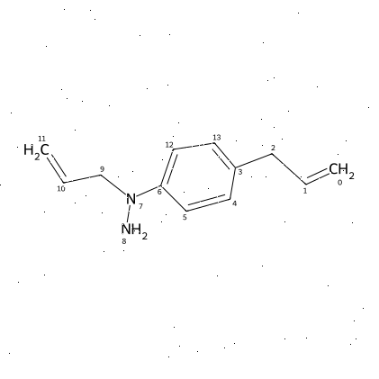 C=CCc1ccc(N(N)CC=C)cc1